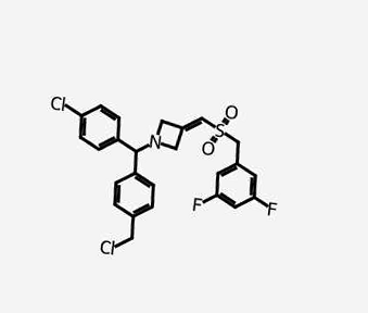 O=S(=O)(C=C1CN(C(c2ccc(Cl)cc2)c2ccc(CCl)cc2)C1)Cc1cc(F)cc(F)c1